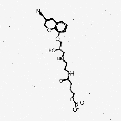 N#CC1=Cc2cccc(OCC(O)CNCCNC(=O)CCCO[N+](=O)[O-])c2OC1